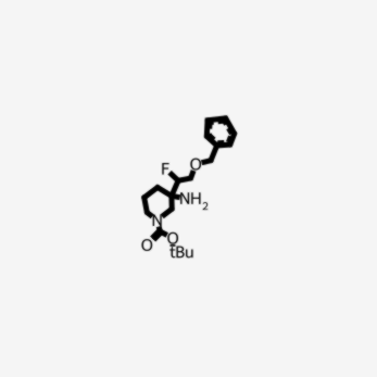 CC(C)(C)OC(=O)N1CCCC(N)(C(F)COCc2ccccc2)C1